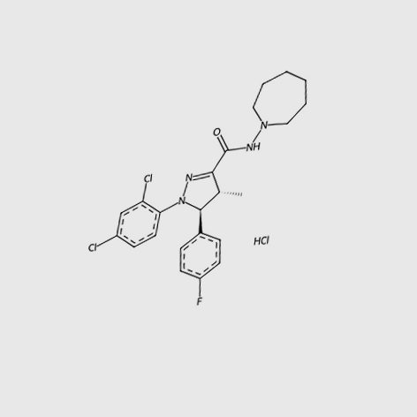 C[C@H]1C(C(=O)NN2CCCCCC2)=NN(c2ccc(Cl)cc2Cl)[C@@H]1c1ccc(F)cc1.Cl